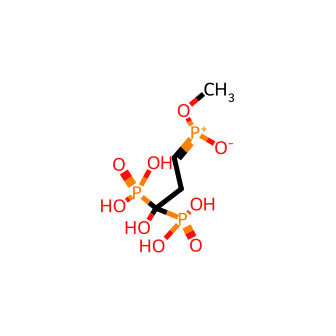 CO/[P+]([O-])=C/CC(O)(P(=O)(O)O)P(=O)(O)O